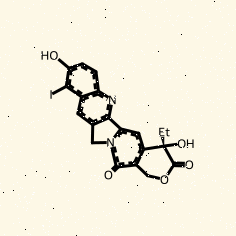 CC[C@@]1(O)C(=O)OCc2c1cc1n(c2=O)Cc2cc3c(I)c(O)ccc3nc2-1